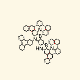 c1ccc(-c2cc3c4c(c2)N(c2c(-c5ccccc5)cccc2-c2ccccc2)c2ccccc2B4c2cc4c(cc2N3)N(c2ccc3c5ccccc5c5ccccc5c3c2)c2cc(-c3ccccc3)cc3c2B4c2ccccc2N3c2c(-c3ccccc3)cccc2-c2ccccc2)cc1